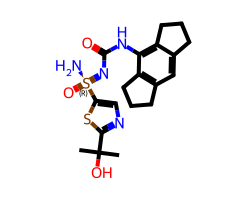 CC(C)(O)c1ncc([S@](N)(=O)=NC(=O)Nc2c3c(cc4c2CCC4)CCC3)s1